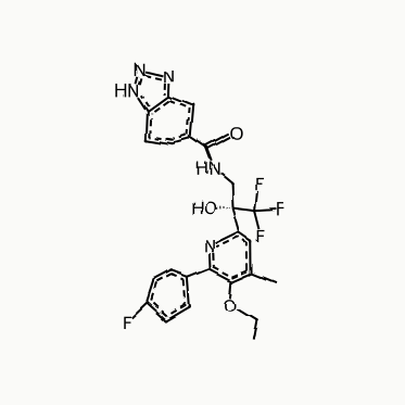 CCOc1c(C)cc([C@@](O)(CNC(=O)c2ccc3[nH]nnc3c2)C(F)(F)F)nc1-c1ccc(F)cc1